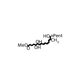 CCCCC[C@H](O)/C(C)=C/C=C\C=C\C=C\[C@@H](O)[C@@H](O)CCCC(=O)OC